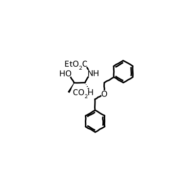 CCOC(=O)N[C@H](C(=O)O)[C@@H](C)O.c1ccc(COCc2ccccc2)cc1